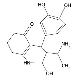 CC(N)C1C(O)NC2=C(C(=O)CCC2)C1c1ccc(O)c(O)c1